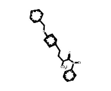 CCN(C(=O)C(CCc1ccc(OCc2ccccc2)cc1)C(=O)O)c1ccccc1